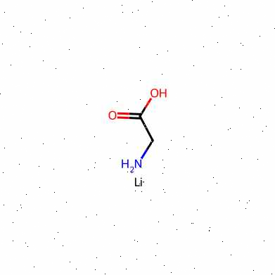 NCC(=O)O.[Li]